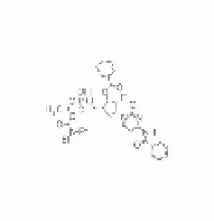 CCN(CC)C(=O)OC(C)OP(=O)(O)OC[C@H]1S[C@@H](n2ccc(NC(=O)c3ccccc3)nc2=O)[C@@H](F)[C@@H]1OC(=O)c1ccccc1